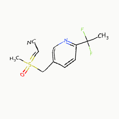 CC(F)(F)c1ccc(CS(C)(=O)=CC#N)cn1